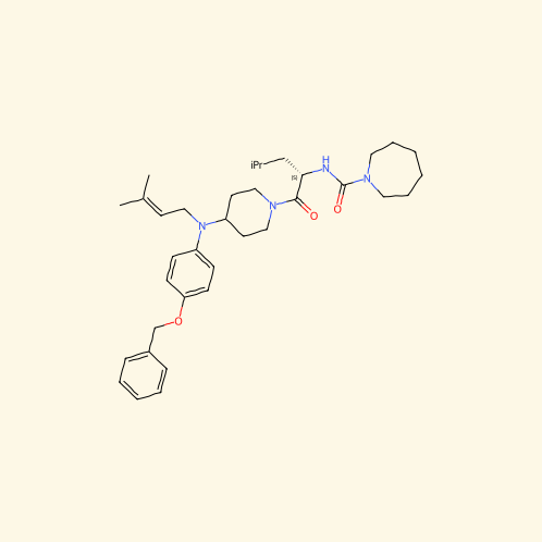 CC(C)=CCN(c1ccc(OCc2ccccc2)cc1)C1CCN(C(=O)[C@H](CC(C)C)NC(=O)N2CCCCCC2)CC1